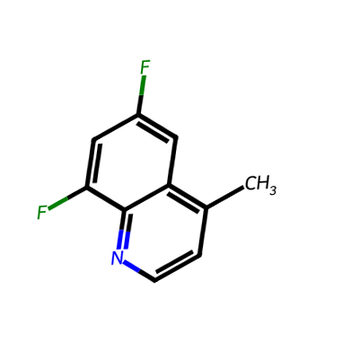 Cc1ccnc2c(F)cc(F)cc12